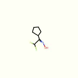 ON=C(C(F)F)C1CCCC1